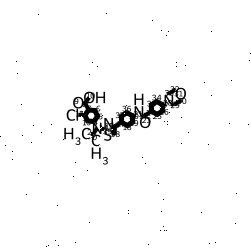 CC(C)N(c1ccc(C(=O)O)c(Cl)c1)c1nc(-c2ccc(NC(=O)c3ccc(N4CCOCC4)cc3)cc2)cs1